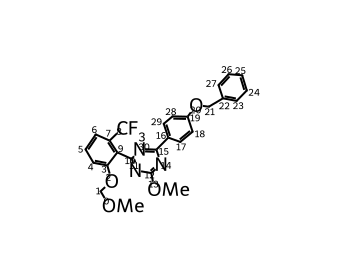 COCOc1cccc(C(F)(F)F)c1-c1nc(OC)nc(-c2ccc(OCc3ccccc3)cc2)n1